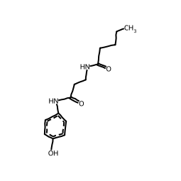 CCCCC(=O)NCCC(=O)Nc1ccc(O)cc1